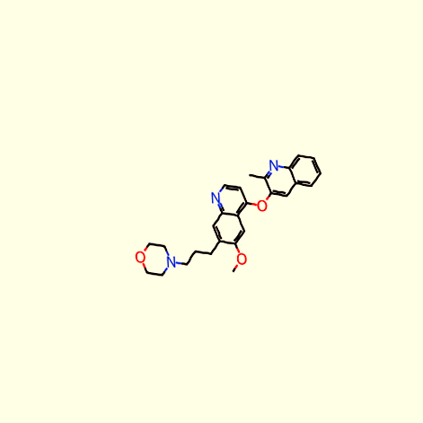 COc1cc2c(Oc3cc4ccccc4nc3C)ccnc2cc1CCCN1CCOCC1